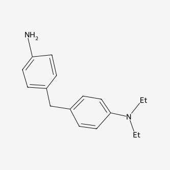 CCN(CC)c1ccc(Cc2ccc(N)cc2)cc1